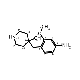 COc1cc(N)ccc1CC1(O)CCNCC1